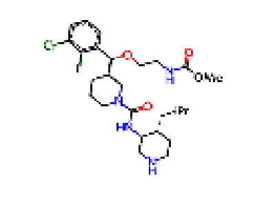 COC(=O)NCCOC(c1cccc(Cl)c1F)[C@@H]1CCCN(C(=O)N[C@@H]2CNCC[C@H]2CC(C)C)C1